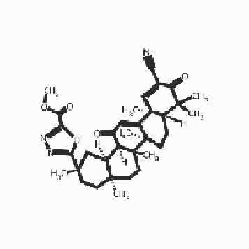 COC(=O)c1nnc([C@@]2(C)CC[C@]3(C)CC[C@]4(C)[C@H](C(=O)C=C5[C@@]6(C)C=C(C#N)C(=O)C(C)(C)[C@@H]6CC[C@]54C)[C@@H]3C2)o1